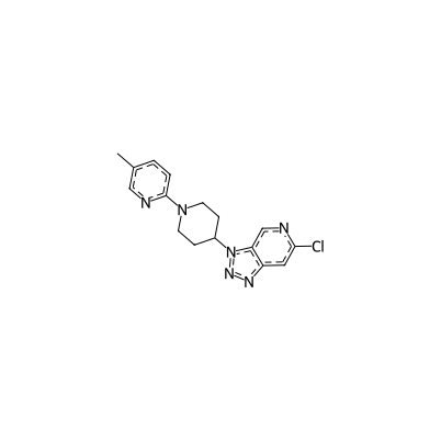 Cc1ccc(N2CCC(n3nnc4cc(Cl)ncc43)CC2)nc1